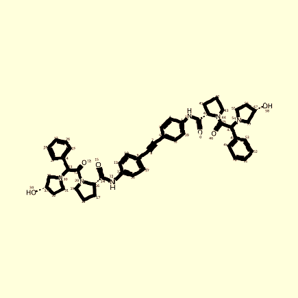 O=C(Nc1ccc(C#Cc2ccc(NC(=O)[C@@H]3CCCN3C(=O)C(c3ccccc3)N3CC[C@H](O)C3)cc2)cc1)[C@@H]1CCCN1C(=O)C(c1ccccc1)N1CC[C@H](O)C1